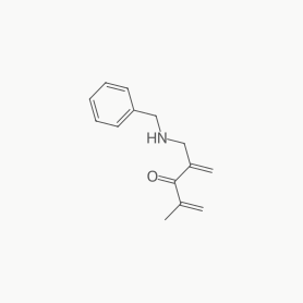 C=C(C)C(=O)C(=C)CNCc1ccccc1